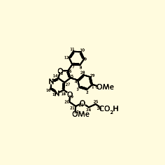 COc1ccc(-c2c(-c3ccccc3)oc3ncnc(OCC(OC)OCCC(=O)O)c23)cc1